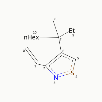 C=Cc1nscc1C(C)(CC)CCCCCC